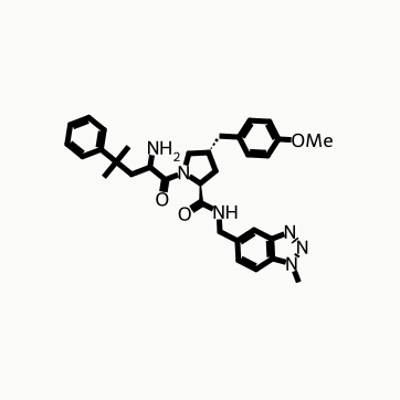 COc1ccc(C[C@@H]2C[C@@H](C(=O)NCc3ccc4c(c3)nnn4C)N(C(=O)C(N)CC(C)(C)c3ccccc3)C2)cc1